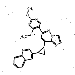 COc1ncc(-c2cc(C3CC3c3cnc4ccccc4c3)c3nccn3n2)c(OC)n1